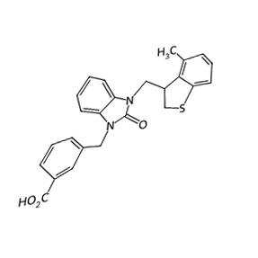 Cc1cccc2c1C(Cn1c(=O)n(Cc3cccc(C(=O)O)c3)c3ccccc31)CS2